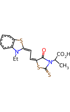 CCN1/C(=C\C=C2\SC(=S)N(C(C)C(=O)O)C2=O)Sc2ccccc21